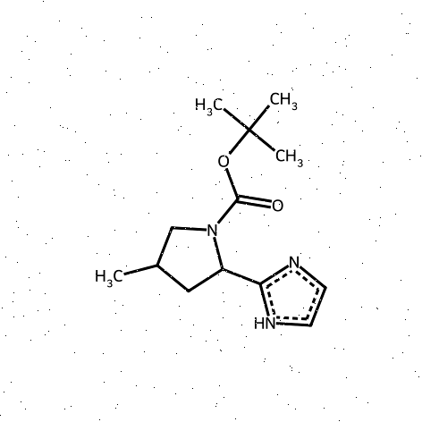 CC1CC(c2ncc[nH]2)N(C(=O)OC(C)(C)C)C1